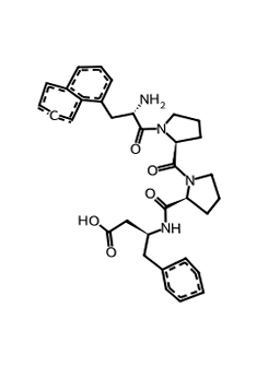 N[C@@H](Cc1cccc2ccccc12)C(=O)N1CCC[C@H]1C(=O)N1CCC[C@H]1C(=O)N[C@H](CC(=O)O)Cc1ccccc1